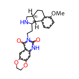 COc1cccc2c1CC[C@H]1CNC(CCn3c(=O)[nH]c4cc5c(cc4c3=O)OCCO5)[C@@H]21